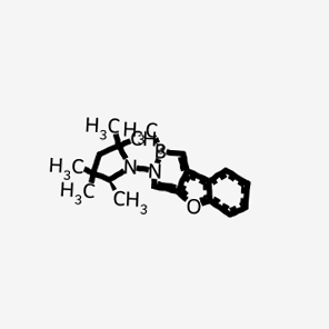 CB1C=c2c(oc3ccccc23)=CN1N1[C@@H](C)C(C)(C)CC1(C)C